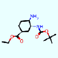 CCOC(=O)[C@H]1CC[C@@H](N)[C@H](NC(=O)OC(C)(C)C)C1